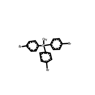 O[Si](c1ccc(Br)cc1)(c1ccc(Br)cc1)c1ccc(Br)cc1